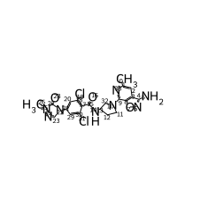 Cc1cc2c(N)noc2c(N2CCC(NC(=O)c3c(Cl)cc(-n4cnn(C)c4=O)cc3Cl)C2)n1